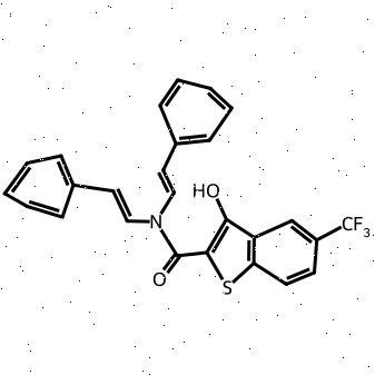 O=C(c1sc2ccc(C(F)(F)F)cc2c1O)N(C=Cc1ccccc1)C=Cc1ccccc1